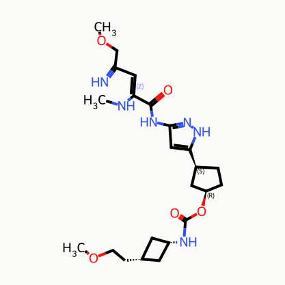 CN/C(=C\C(=N)COC)C(=O)Nc1cc([C@H]2CC[C@@H](OC(=O)N[C@H]3C[C@@H](CCOC)C3)C2)[nH]n1